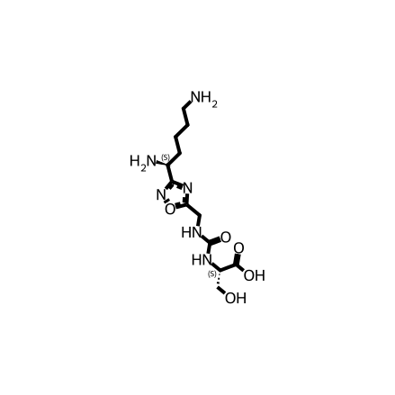 NCCCC[C@H](N)c1noc(CNC(=O)N[C@@H](CO)C(=O)O)n1